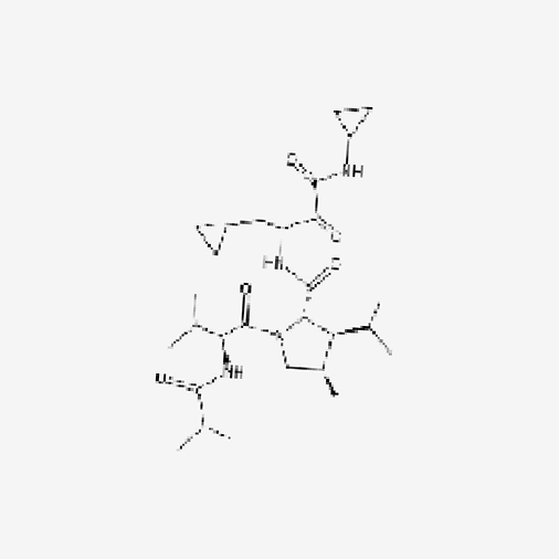 CC(C)C(=O)N[C@H](C(=O)N1C[C@H](C)[C@H](C(C)C)[C@H]1C(=O)NC(CC1CC1)C(=O)C(=O)NC1CC1)C(C)C